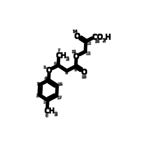 Cc1ccc(OC(C)CC(=O)OCC(=O)C(=O)O)cc1